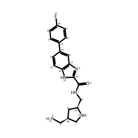 NC[C@@H]1CN[C@H](CNC(=O)c2nc3cc(-c4ccc(F)cc4)ccc3[nH]2)C1